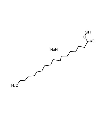 CCCCCCCCCCCCCCCCCC(=O)O[SiH3].[NaH]